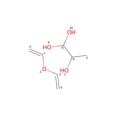 C=COC=C.CC(O)C(O)O